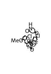 COc1ccc(Cl)cc1C=C1CN2C(=O)CC2(S(=O)(=O)c2ccc(Cl)cc2F)C1=O.O=C1CCNC(=O)CC1